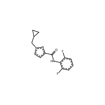 O=C(Nc1c(F)cccc1F)c1ccn(CC2CC2)n1